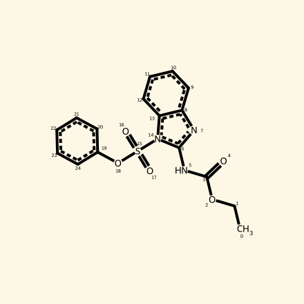 CCOC(=O)Nc1nc2ccccc2n1S(=O)(=O)Oc1ccccc1